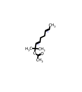 C/C=C/CC/C=C/C(C)(C)OC(C)=O